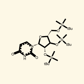 CC(C)(C)[Si](C)(C)OC[C@H]1O[C@@H](n2ccc(=O)[nH]c2=O)[C@@H](O[Si](C)(C)C(C)(C)C)C1O[Si](C)(C)C(C)(C)C